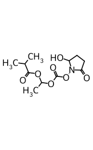 CC(OC(=O)ON1C(=O)CCC1O)OC(=O)C(C)C